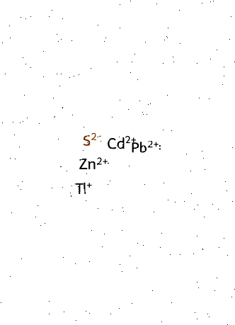 [Cd+2].[Pb+2].[S-2].[Tl+].[Zn+2]